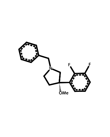 CO[C@]1(c2cccc(F)c2F)CCN(Cc2ccccc2)C1